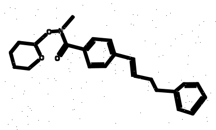 CN(OC1CCCCO1)C(=O)c1ccc(C=CCCc2ccccc2)cc1